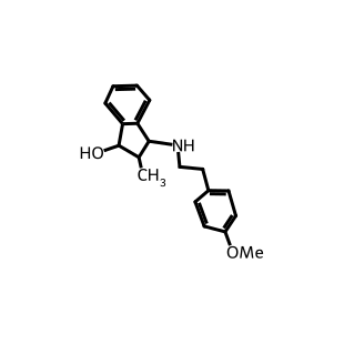 COc1ccc(CCNC2c3ccccc3C(O)C2C)cc1